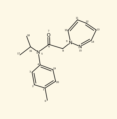 Cc1ccc(N(C(=O)CN2C=CC=CC=N2)C(C)C)cc1